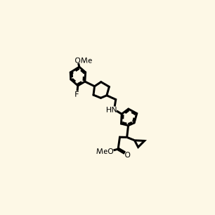 COC(=O)CC(c1cccc(NCC2CCC(c3cc(OC)ccc3F)CC2)c1)C1CC1